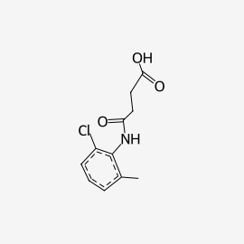 Cc1cccc(Cl)c1NC(=O)CCC(=O)O